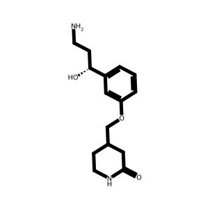 NCC[C@@H](O)c1cccc(OCC2CCNC(=O)C2)c1